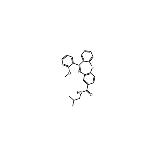 COc1ccccc1C1=Nc2cc(C(=O)NCC(C)C)ccc2Sc2ccccc21